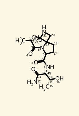 CC(C)C(=O)N1C(C(=O)N[C@@H](C(N)=O)[C@@H](C)O)CCC12CNC2=O